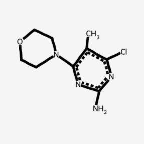 Cc1c(Cl)nc(N)nc1N1CCOCC1